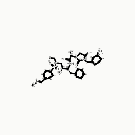 CC(C)CN(C[C@H](O)[C@H](Cc1ccccc1)NC(=O)[C@H](C(C)C)N1CC(=O)N(Cc2cccc(N)c2)C1=O)S(=O)(=O)c1ccc(C=NO)cc1